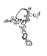 CC(C)(C)OC(=O)N[C@H]1CCCCC/C=C\[C@@H]2C[C@@]2(C(=O)O)NC(=O)[C@@H]2C[C@@H](OC(=O)N3Cc4ccc(N5CCOCC5)cc4C3)CN2C1=O